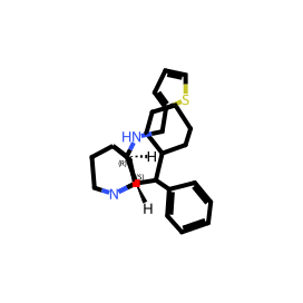 c1ccc(C(C2CCCCC2)[C@H]2[C@H](NCc3cccs3)C3CCN2CC3)cc1